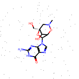 CN1C[C@]2(CO)OC(n3cnc4c(=O)[nH]c(N)nc43)C(O1)C2O